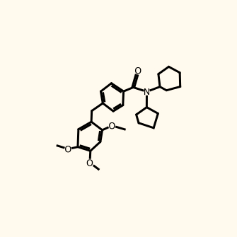 COc1cc(OC)c(OC)cc1Cc1ccc(C(=O)N(C2CCCCC2)C2CCCC2)cc1